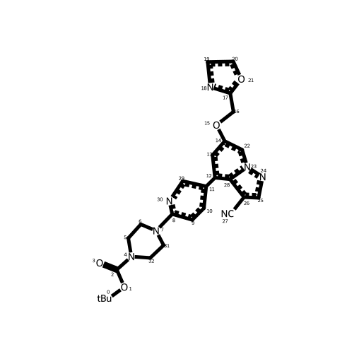 CC(C)(C)OC(=O)N1CCN(c2ccc(-c3cc(OCc4ncco4)cn4ncc(C#N)c34)cn2)CC1